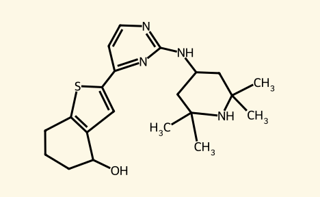 CC1(C)CC(Nc2nccc(-c3cc4c(s3)CCCC4O)n2)CC(C)(C)N1